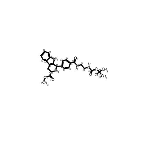 COC(=O)[C@H]1Cc2c([nH]c3ccccc23)C(c2ccc(C(=O)NCCNC(=O)OC(C)(C)C)cc2)N1